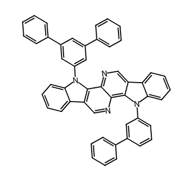 c1ccc(-c2cccc(-n3c4ccccc4c4cnc5c(ncc6c7ccccc7n(-c7cc(-c8ccccc8)cc(-c8ccccc8)c7)c65)c43)c2)cc1